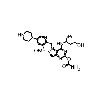 CCC[C@@H](CCO)Nc1nc(OC(N)=O)nc2cnn(Cc3ncc(C4CCNCC4)cc3OC)c12